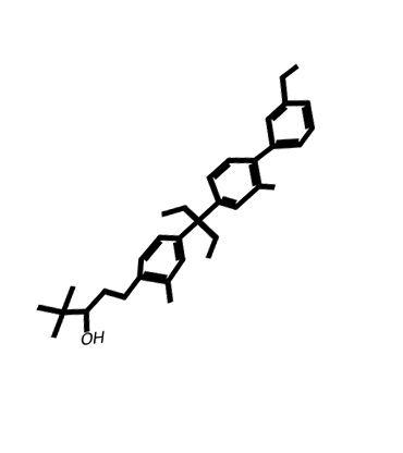 CCc1cccc(-c2ccc(C(CC)(CC)c3ccc(CCC(O)C(C)(C)C)c(C)c3)cc2C)c1